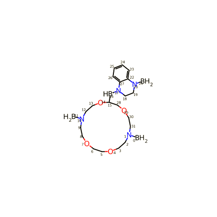 BN1CCOCCOCCN(B)CCOC(BN2CCN(B)c3ccccc32)COCC1